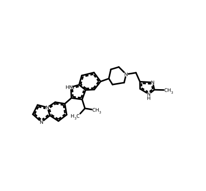 Cc1nc(CN2CCC(c3ccc4[nH]c(-c5ccc6nccn6c5)c(C(C)C)c4c3)CC2)c[nH]1